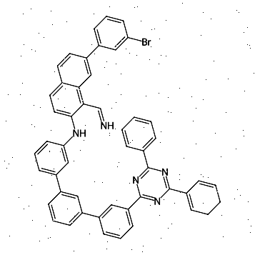 N=Cc1c(Nc2cccc(-c3cccc(-c4cccc(-c5nc(C6=CCCC=C6)nc(-c6ccccc6)n5)c4)c3)c2)ccc2ccc(-c3cccc(Br)c3)cc12